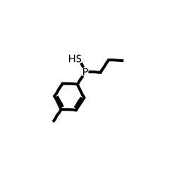 CCCP(S)C1C=CC(C)=CC1